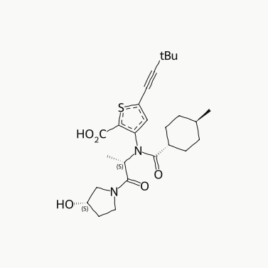 C[C@@H](C(=O)N1CC[C@H](O)C1)N(c1cc(C#CC(C)(C)C)sc1C(=O)O)C(=O)[C@H]1CC[C@H](C)CC1